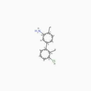 Cc1ccc(-c2cccc(Cl)c2C)cc1N